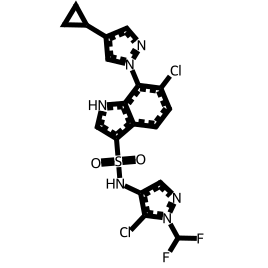 O=S(=O)(Nc1cnn(C(F)F)c1Cl)c1c[nH]c2c(-n3cc(C4CC4)cn3)c(Cl)ccc12